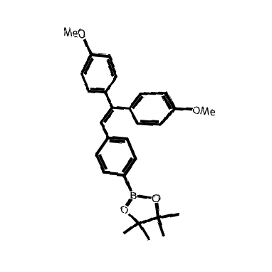 COc1ccc(C(=Cc2ccc(B3OC(C)(C)C(C)(C)O3)cc2)c2ccc(OC)cc2)cc1